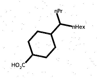 CCCCCCC(CCC)C1CCC(C(=O)O)CC1